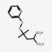 CC(C)(CC(C(=O)O)S(=O)(=O)O)SSc1ccccn1